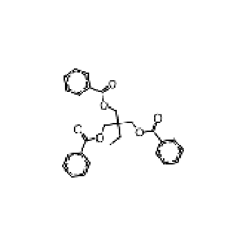 CCC(COC(=O)c1ccccc1)(COC(=O)c1ccccc1)COC(=O)c1ccccc1